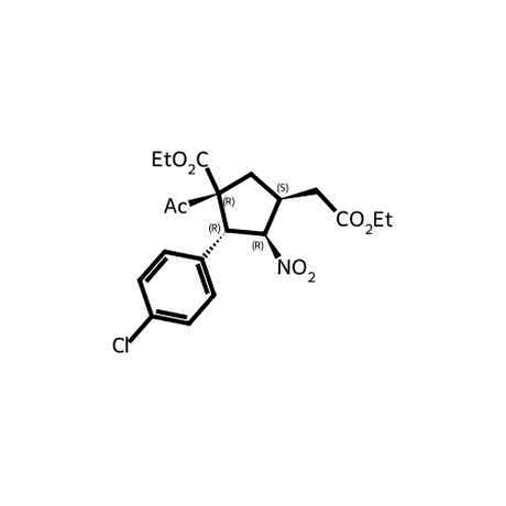 CCOC(=O)C[C@@H]1C[C@@](C(C)=O)(C(=O)OCC)[C@@H](c2ccc(Cl)cc2)[C@@H]1[N+](=O)[O-]